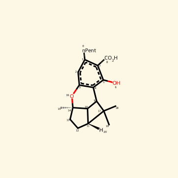 CCCCCc1cc2c(c(O)c1C(=O)O)C1C3[C@@H](CC[C@@]3(C)O2)C1(C)C